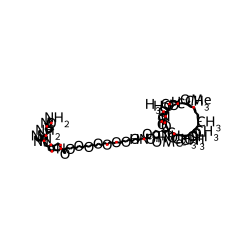 CO[C@H]1C[C@@H]2CC[C@@H](C)[C@@](O)(O2)C(=O)C(=O)N2CCCC[C@H]2C(=O)O[C@H]([C@H](N)C[C@@H]2CC[C@@H](OC(=O)NCCOCCOCCOCCOCCOCCOCCOCCOCC(=O)N3CCc4cc(Cn5nc(-c6ccc7oc(N)nc7c6)c6c(N)ncnc65)ccc4C3)[C@H](OC)C2)C[C@@H](O)[C@H](C)/C=C(\C)[C@@H](O)[C@@H](O)C(=O)[C@H](C)C[C@H](C)/C=C/C=C/C=C/1C